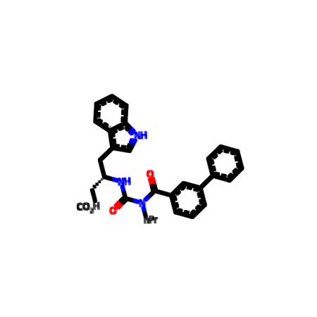 CCCN(C(=O)N[C@H](CC(=O)O)Cc1c[nH]c2ccccc12)C(=O)c1cccc(-c2ccccc2)c1